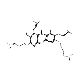 CCN(CC)CCCOc1cc2oc3cc(OCCCN(CC)CC)c(CO)c(CC=C(C)C)c3c(=O)c2c(O)c1CC=C(C)C